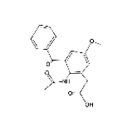 COc1cc(CC(=O)O)c(NC(C)=O)c(C(=O)c2ccccc2)c1